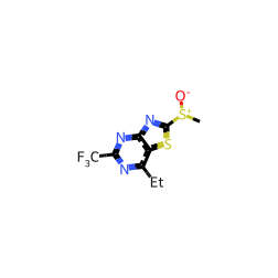 CCc1nc(C(F)(F)F)nc2nc([S+](C)[O-])sc12